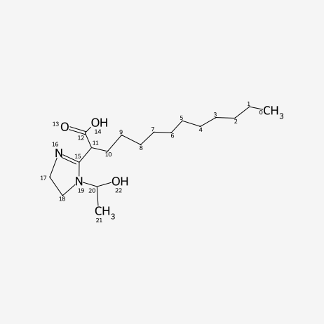 CCCCCCCCCCCC(C(=O)O)C1=NCCN1C(C)O